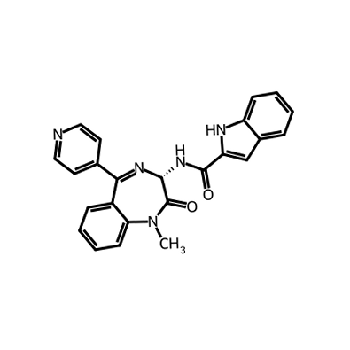 CN1C(=O)[C@@H](NC(=O)c2cc3ccccc3[nH]2)N=C(c2ccncc2)c2ccccc21